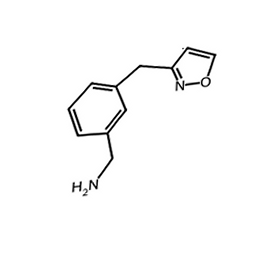 NCc1cccc(Cc2[c]con2)c1